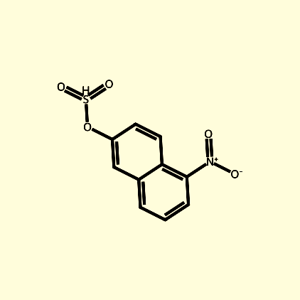 O=[N+]([O-])c1cccc2cc(O[SH](=O)=O)ccc12